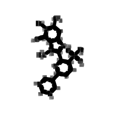 CCn1c(C(F)(F)F)cc2nc(-c3nc(-c4cncnc4)ccc3S(=O)(=O)CC)n(C)c2c1=O